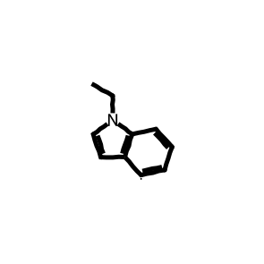 CCn1ccc2[c]cccc21